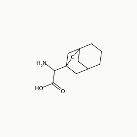 NC(C(=O)O)C12CC3CCCC(C3)(C1)C2